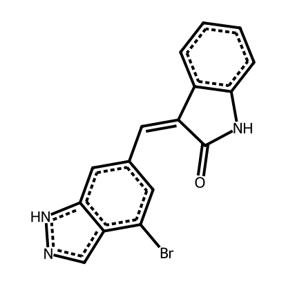 O=C1Nc2ccccc2/C1=C/c1cc(Br)c2cn[nH]c2c1